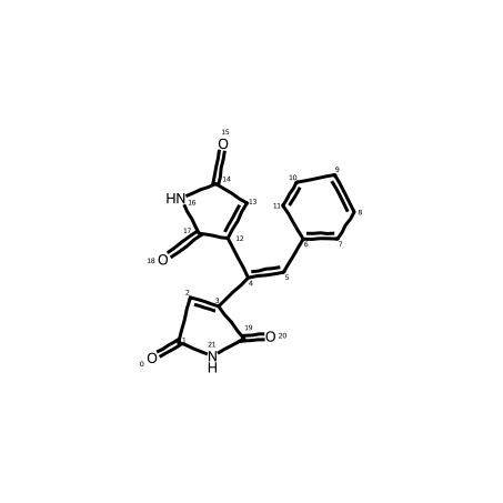 O=C1C=C(C(=Cc2ccccc2)C2=CC(=O)NC2=O)C(=O)N1